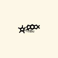 CCCC[C]1([Hf][C]2(C)C(C)=C(C)C(C)=C2C)C=Cc2cc3c(cc21)CC(C)(C)C3